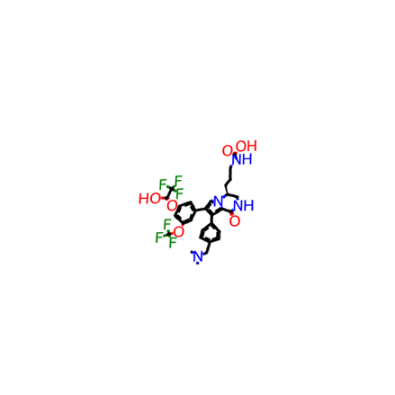 CN(C)Cc1ccc(-c2c(-c3cccc(OC(F)(F)F)c3)cn3c2C(=O)NC[C@@H]3CCCNC(=O)O)cc1.O=C(O)C(F)(F)F